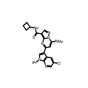 CNc1cc(-c2cn(C(C)C)c3ncc(Cl)cc23)nc2c(C(=O)NC3CCC3)cnn12